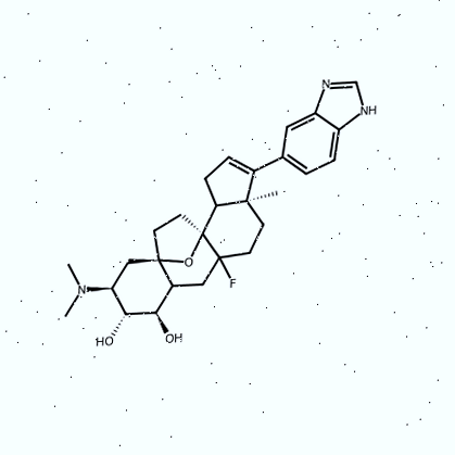 CN(C)[C@H]1C[C@@]23CC[C@]4(O2)C2CC=C(c5ccc6[nH]cnc6c5)[C@@]2(C)CCC4(F)CC3[C@@H](O)[C@@H]1O